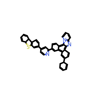 C1=CCC(c2ccc3c(c2)c2cc(-c4cc(-c5ccc6c(c5)SC5C=CC=CC65)ccn4)ccc2c2c3nc3ccccn32)C=C1